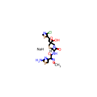 CON=C(C(=O)NC1C(=O)N2CC(C=Cc3scnc3Cl)(C(=O)O)CS[C@H]12)c1csc(N)n1.[NaH]